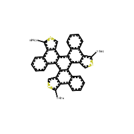 CCCCCCc1scc2c1c1ccccc1c1c2c2c3ccccc3c3c(CCCCCC)scc3c2c2c3ccccc3c3c(CCCCCC)scc3c12